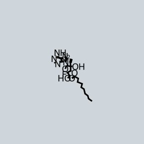 C#CC1(O)C(n2cnc3c(N)ncnc32)OC(F)(CO)C1OC(=O)CCCCCCCCC